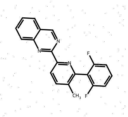 Cc1ccc(-c2ncc3ccccc3n2)nc1-c1c(F)cccc1F